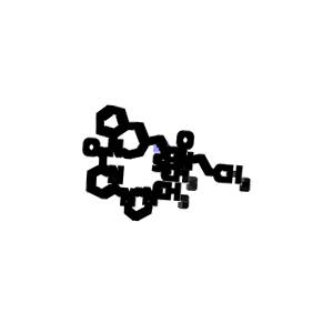 CCCNC(=O)/C(=C/C1=Cc2ccccc2N(C(=O)c2cccc(N3CCCN(C)C3)n2)CC1)SC